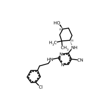 CC1(C)C[C@@H](O)CC[C@@H]1Nc1nc(NCCc2cccc(Cl)c2)ncc1C#N